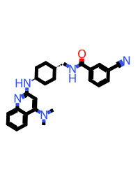 CN(C)c1cc(N[C@H]2CC[C@@H](CNC(=O)c3cccc(C#N)c3)CC2)nc2ccccc12